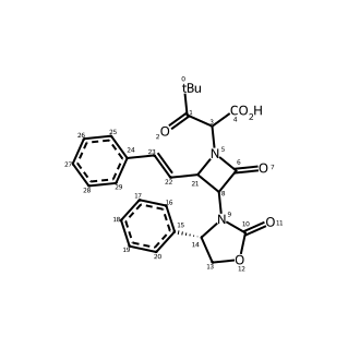 CC(C)(C)C(=O)C(C(=O)O)N1C(=O)C(N2C(=O)OC[C@@H]2c2ccccc2)C1C=Cc1ccccc1